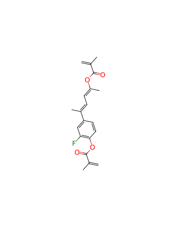 C=C(C)C(=O)O/C(C)=C/C=C(\C)c1ccc(OC(=O)C(=C)C)c(F)c1